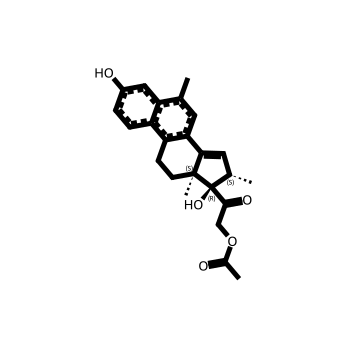 CC(=O)OCC(=O)[C@@]1(O)[C@@H](C)C=C2c3cc(C)c4cc(O)ccc4c3CC[C@@]21C